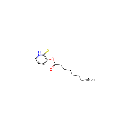 CCCCCCCCCCCCCCCC(=O)Oc1ccc[nH]c1=S